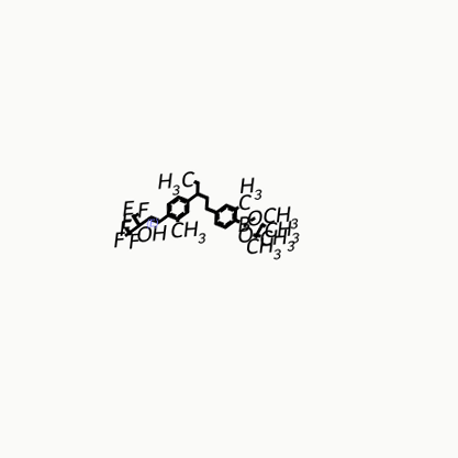 CCC(CCc1ccc(B2OC(C)(C)C(C)(C)O2)c(C)c1)c1ccc(/C=C/C(O)(C(F)(F)F)C(F)(F)F)c(C)c1